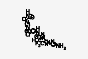 Cn1c(-c2cn(-c3ccc(N)cn3)nc2C(F)(F)F)cnc1C(=O)Nc1ccc(C(=O)N2CCN(C(=O)[C@@H]3COCCN3)CC2)c(Cl)c1